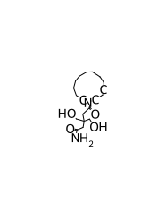 NC(=O)CC(CO)(CO)CC(=O)N1CCCCCCCCCCCC1